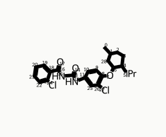 CC1CCC(C(C)C)C(Oc2ccc(NC(=O)NC(=O)c3ccccc3Cl)cc2Cl)C1